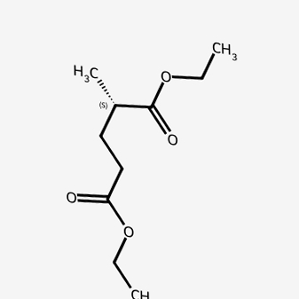 CCOC(=O)CC[C@H](C)C(=O)OCC